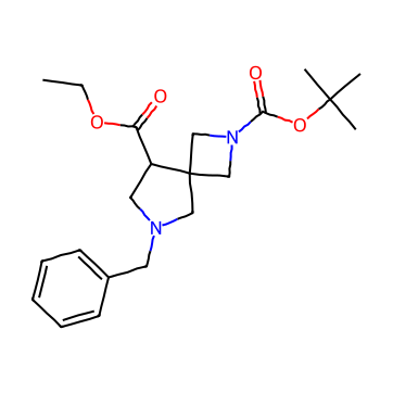 CCOC(=O)C1CN(Cc2ccccc2)CC12CN(C(=O)OC(C)(C)C)C2